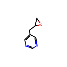 c1ncc(CC2CO2)cn1